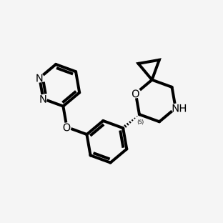 c1cc(Oc2cccnn2)cc([C@H]2CNCC3(CC3)O2)c1